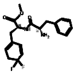 COC(=O)[C@H](CC1=CCC(F)(F)C=C1)NC(=O)[C@@H](N)Cc1ccccc1